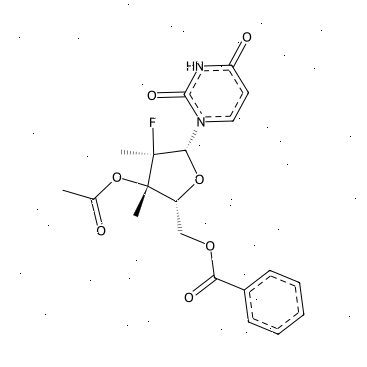 CC(=O)O[C@@]1(C)[C@@H](COC(=O)c2ccccc2)O[C@@H](n2ccc(=O)[nH]c2=O)[C@]1(C)F